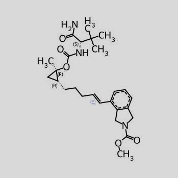 COC(=O)N1Cc2cccc(/C=C/CCC[C@@H]3C[C@@]3(C)OC(=O)N[C@H](C(N)=O)C(C)(C)C)c2C1